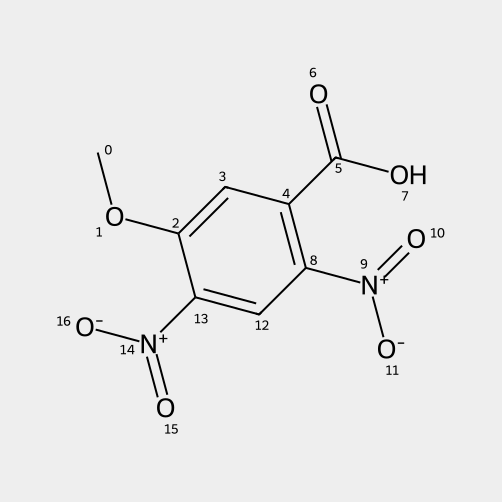 COc1cc(C(=O)O)c([N+](=O)[O-])cc1[N+](=O)[O-]